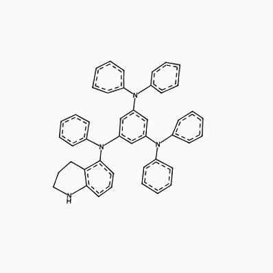 c1ccc(N(c2ccccc2)c2cc(N(c3ccccc3)c3ccccc3)cc(N(c3ccccc3)c3cccc4c3CCCN4)c2)cc1